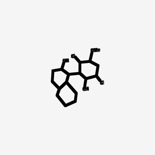 COC1CC(Cl)C(O)C(C2C(O)CCC3CCCCC32)C1Cl